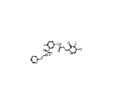 Cc1ccc(NC(=O)CCn2ncc(Cl)c(Cl)c2=O)cc1S(=O)(=O)NCCc1ccccn1